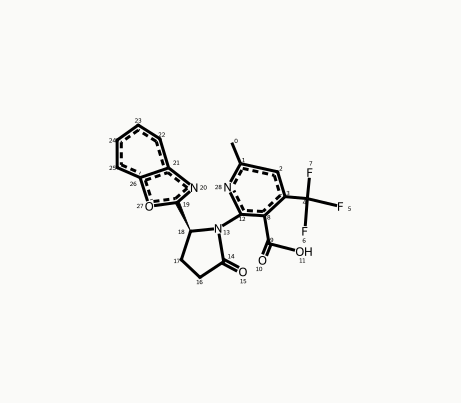 Cc1cc(C(F)(F)F)c(C(=O)O)c(N2C(=O)CC[C@H]2c2nc3ccccc3o2)n1